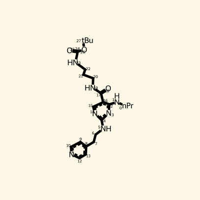 CCCNc1nc(NCCc2ccncc2)ncc1C(=O)NCCCNC(=O)OC(C)(C)C